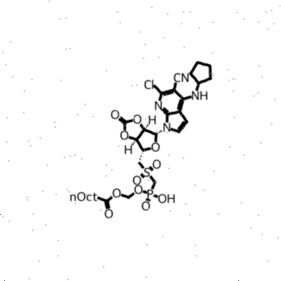 CCCCCCCCC(=O)OCOP(=O)(O)CS(=O)(=O)C[C@H]1O[C@@H](n2ccc3c(NC4CCCC4)c(C#N)c(Cl)nc32)[C@@H]2OC(=O)O[C@@H]21